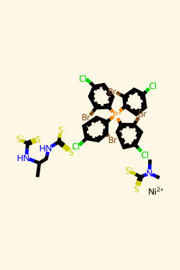 CC(CNC(=S)[S-])NC(=S)[S-].CN(C)C(=S)[S-].Clc1ccc([P+](c2ccc(Cl)cc2Br)(c2ccc(Cl)cc2Br)c2ccc(Cl)cc2Br)c(Br)c1.[Ni+2]